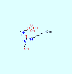 CCCCCCCCCCCCCCCCNC(=O)N(C)CCO.C[N+](C)(C)CCOP(=O)(O)O